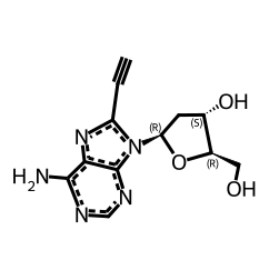 C#Cc1nc2c(N)ncnc2n1[C@H]1C[C@H](O)[C@@H](CO)O1